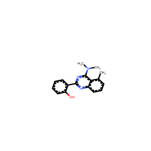 Cc1cccc2nc(-c3ccccc3O)nc(N(C)C)c12